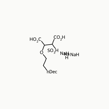 CCCCCCCCCCCCOC(C(=O)O)C(C(=O)O)S(=O)(=O)O.[NaH].[NaH].[NaH]